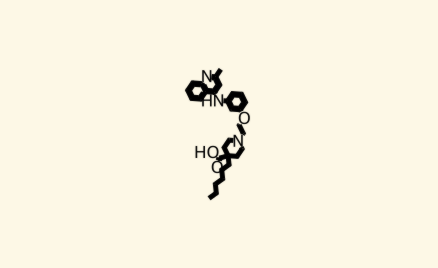 CCCCCCC1(C(=O)O)CCN(CCOc2cccc(Nc3cc(C)nc4ccccc34)c2)CC1